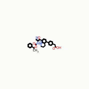 CC(OC(=O)Nc1cnoc1-c1ccc(-c2ccc(CC(=O)O)cc2)c2c1NCCC2)c1ccccc1